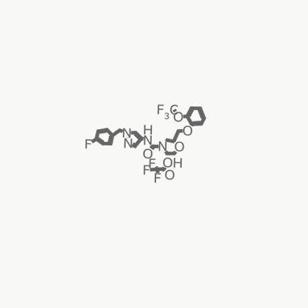 O=C(Nc1cnn(Cc2ccc(F)cc2)c1)N1CCOC(COc2ccccc2OC(F)(F)F)C1.O=C(O)C(F)(F)F